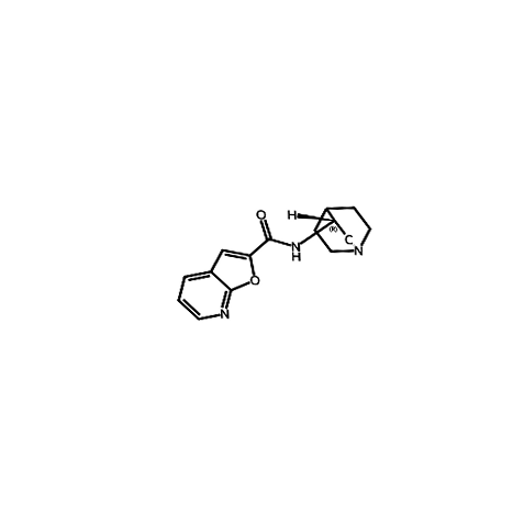 O=C(N[C@H]1CN2CCC1CC2)c1cc2cccnc2o1